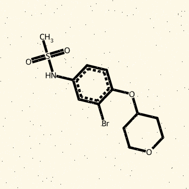 CS(=O)(=O)Nc1ccc(OC2CCOCC2)c(Br)c1